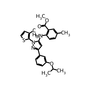 COC(=O)c1cc(C)ccc1Nc1cc(-c2cccc(OC(C)C)c2)nn1-c1sccc1C